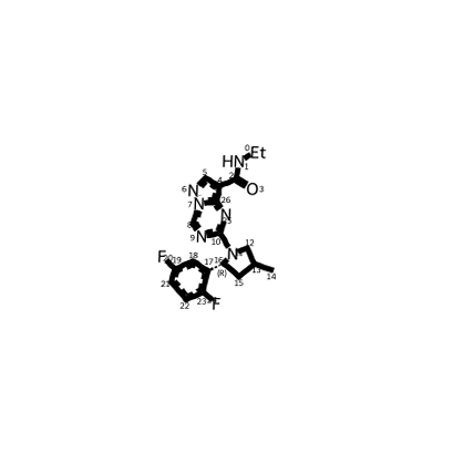 CCNC(=O)c1cnn2cnc(N3CC(C)C[C@@H]3c3cc(F)ccc3F)nc12